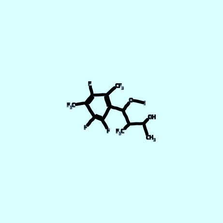 CC(O)C(C(OI)c1c(F)c(F)c(C(F)(F)F)c(F)c1C(F)(F)F)C(F)(F)F